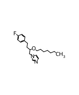 CCCCCCCOC(CCc1ccc(F)cc1)Cn1ccnc1